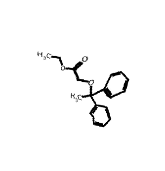 CCOC(=O)COC(C)(c1ccccc1)c1ccccc1